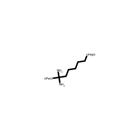 CCCCCCCCCCCCC(N)(N)CCCCC